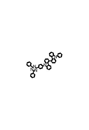 c1ccc(-c2nc(-c3ccccc3)nc(-c3ccc(-n4c5ccccc5c5c(-c6cccc7c6c6ccccc6n7-c6ccccc6)cccc54)cc3)n2)cc1